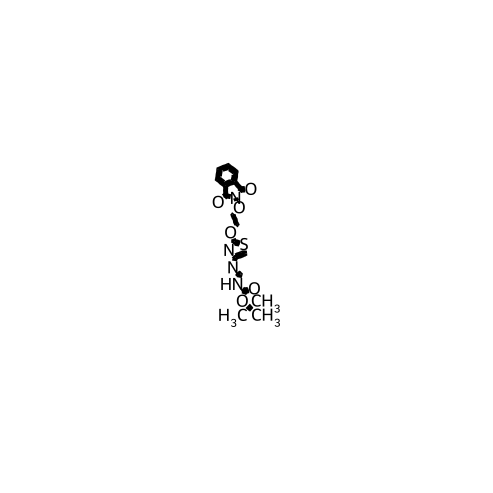 CC(C)(C)OC(=O)N/C=N/c1csc(OCCON2C(=O)c3ccccc3C2=O)n1